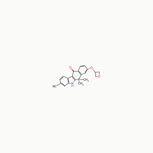 CC1(C)c2cc(OC3COC3)ccc2C(=O)c2c1[nH]c1cc(C#N)ccc21